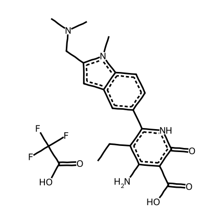 CCc1c(-c2ccc3c(c2)cc(CN(C)C)n3C)[nH]c(=O)c(C(=O)O)c1N.O=C(O)C(F)(F)F